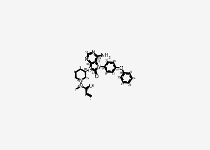 C=CC(=O)N(C)N1CCC[C@@H](n2c(=O)n(-c3ccc(Oc4ccccc4)cc3)c3c(N)ncnc32)C1